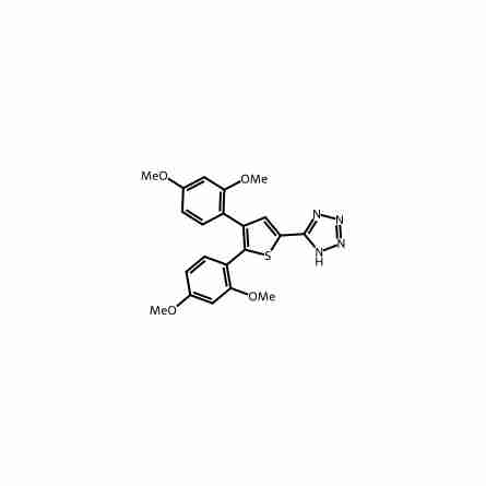 COc1ccc(-c2cc(-c3nnn[nH]3)sc2-c2ccc(OC)cc2OC)c(OC)c1